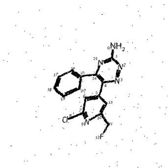 Nc1nnc(-c2cc(Cl)nc(CF)c2)c(-c2ccccc2)n1